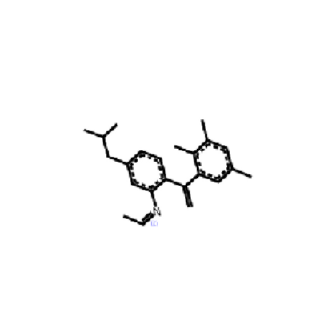 C=C(c1ccc(CC(C)C)cc1/N=C\C)c1cc(C)cc(C)c1C